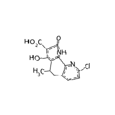 CC1Cc2ccc(Cl)nc2-c2[nH]c(=O)c(C(=O)O)c(O)c21